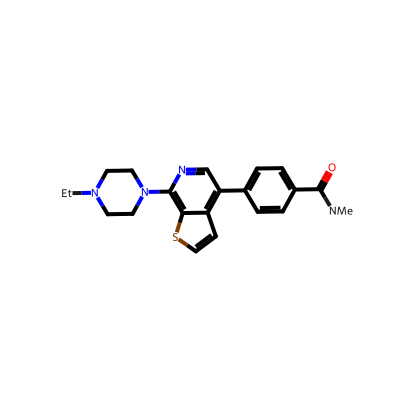 CCN1CCN(c2ncc(-c3ccc(C(=O)NC)cc3)c3ccsc23)CC1